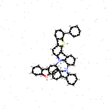 c1ccc(-c2cccc3c2sc2c3ccc3c2c2cccc(-n4c5ccccc5c5ccccc54)c2n3-c2ccc3oc4ccccc4c3c2)cc1